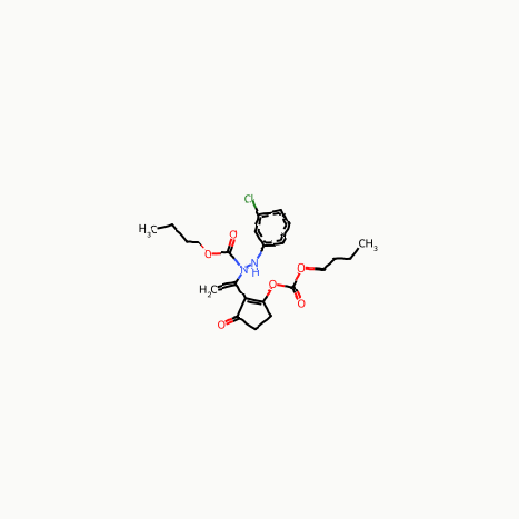 C=C(C1=C(OC(=O)OCCCC)CCC1=O)N(Nc1cccc(Cl)c1)C(=O)OCCCC